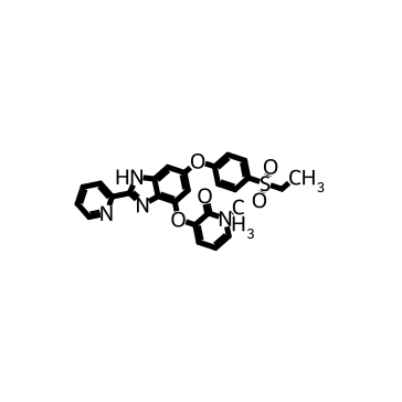 CCS(=O)(=O)c1ccc(Oc2cc(Oc3cccn(C)c3=O)c3nc(-c4ccccn4)[nH]c3c2)cc1